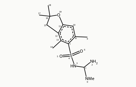 CNC(N)NS(=O)(=O)c1c(C)cc2c(c1C)CC(C)(C)O2